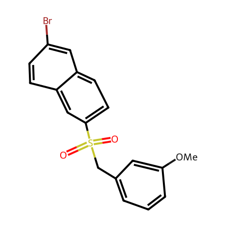 COc1cccc(CS(=O)(=O)c2ccc3cc(Br)ccc3c2)c1